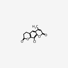 Cc1cc(=O)oc2c(Cl)c3c(cc12)CCC(=O)O3